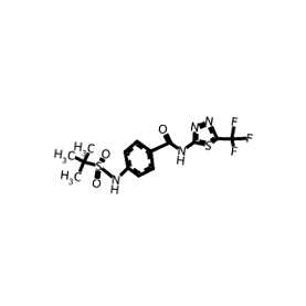 CC(C)(C)S(=O)(=O)Nc1ccc(C(=O)Nc2nnc(C(F)(F)F)s2)cc1